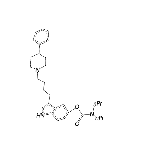 CCCN(CCC)C(=O)Oc1ccc2[nH]cc(CCCCN3CCC(c4ccccc4)CC3)c2c1